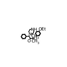 CCOc1ccc(OC(C)(C)C(=O)C(c2ccccc2)N2CCNCC2)cc1